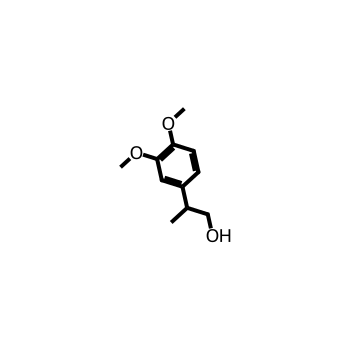 COc1ccc(C(C)CO)cc1OC